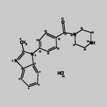 Cc1nc2ccccc2n1-c1ccc(C(=O)N2CCNCC2)cc1.Cl